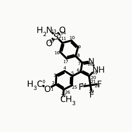 COc1ccc(-c2c(-c3ccc(S(N)(=O)=O)cc3)n[nH]c2C(F)(F)F)cc1C